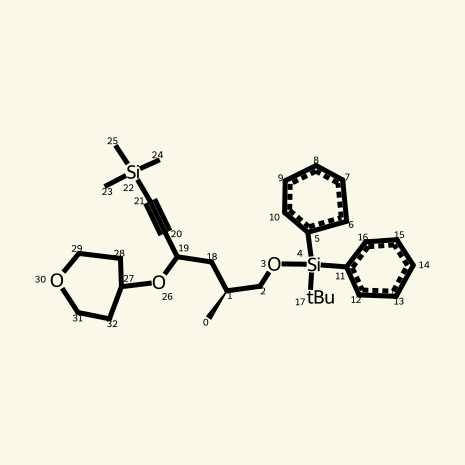 C[C@H](CO[Si](c1ccccc1)(c1ccccc1)C(C)(C)C)CC(C#C[Si](C)(C)C)OC1CCOCC1